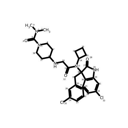 CN(C)C(=O)N1CCC(NCC(=O)N(C2CCC2)C2(Cc3cccc(Cl)c3)C(=O)Nc3cc(Cl)ccc32)CC1